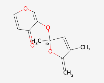 C=C1O[C@@](C)(Oc2coccc2=O)C=C1C